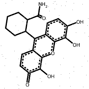 NC(=O)C1CCCCC1c1c2ccc(=O)c(O)c-2oc2c(O)c(O)ccc12